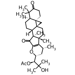 CC(=O)O[C@@H]([C@H]1C[C@@H](C)C2=C(O1)C(=O)[C@@]1(C)[C@@H]3CC[C@H]4C(C)(C)C(=O)CC[C@@]45C[C@@]35CC[C@]21C)C(C)(C)O